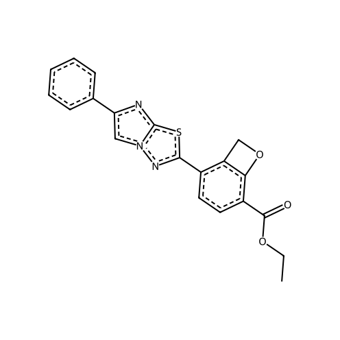 CCOC(=O)c1ccc(-c2nn3cc(-c4ccccc4)nc3s2)c2c1OC2